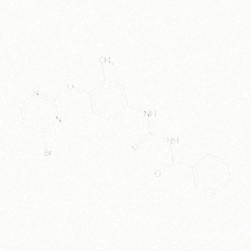 Cc1cc(NC(=O)NC(=O)c2ccccc2)ccc1Oc1nccc(Br)n1